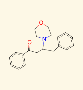 O=C(CC(Cc1ccccc1)N1CCOCC1)c1ccccc1